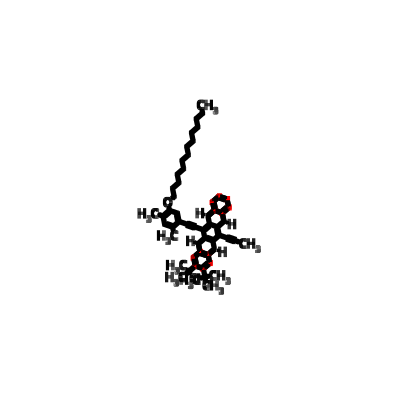 CC#Cc1c2c(c(C#Cc3cc(OCCCCCCCCCCCCCC)c(C)cc3C)c3c1[C@H]1c4ccccc4[C@H]3c3ccccc31)[C@H]1c3ccc(C(C)(C)C)cc3[C@H]2c2ccc(C(C)(C)C)cc21